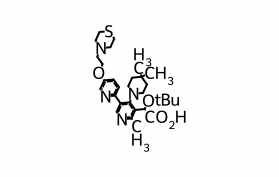 Cc1ncc(-c2ccc(OCCN3CCSCC3)cn2)c(N2CCC(C)(C)CC2)c1[C@H](OC(C)(C)C)C(=O)O